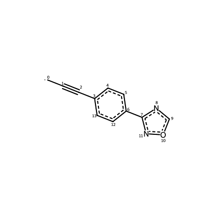 [CH2]C#Cc1ccc(-c2ncon2)cc1